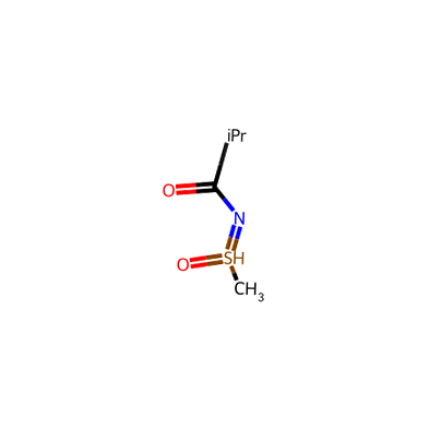 CC(C)C(=O)/N=[SH](/C)=O